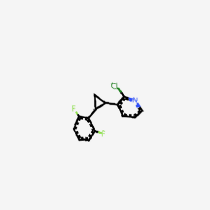 Fc1cccc(F)c1[C]1CC1c1cccnc1Cl